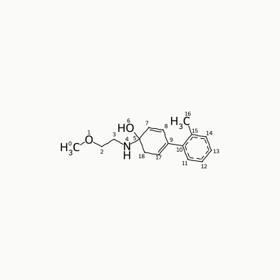 COCCNC1(O)C=CC(c2ccccc2C)=CC1